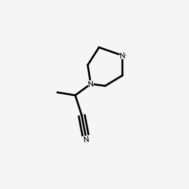 CC(C#N)N1CC[N]CC1